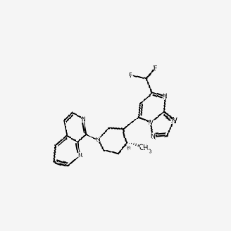 C[C@@H]1CCN(c2nccc3cccnc23)CC1c1cc(C(F)F)nc2ncnn12